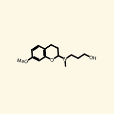 COc1ccc2c(c1)OC(N(C)CCCO)CC2